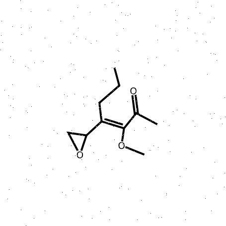 CCC/C(=C(/OC)C(C)=O)C1CO1